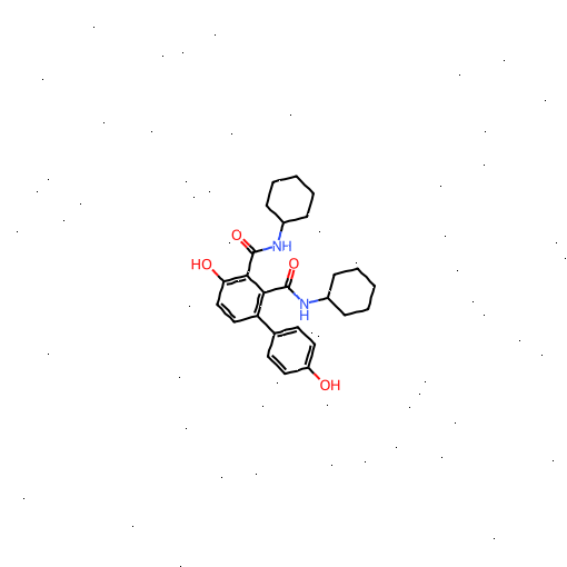 O=C(NC1CCCCC1)c1c(O)ccc(-c2ccc(O)cc2)c1C(=O)NC1CCCCC1